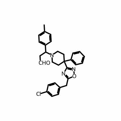 Cc1ccc(C(CC=O)N2CCC(c3ccccc3)(c3noc(Cc4ccc(Cl)cc4)n3)CC2)cc1